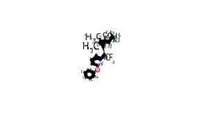 CC1(C)[C@@H](C(c2cccc(Oc3ccccc3)n2)C(F)(F)F)[C@@]1(C=C(Cl)Cl)C(=O)O